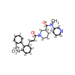 CC(C)c1ccccc1-c1c([N+](=O)[O-])[c]ccc1/C=C/C(=O)N1CCCC(C(=O)N(C)c2cccnc2)C1